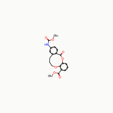 CC(C)(C)OC(=O)Nc1ccc2c(c1)CCCOc1c(cccc1C(=O)OC(C)(C)C)OC2=O